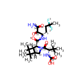 CC(F)(F)CC[C@H](NC(=O)[C@@H]1[C@@H]2[C@H](CN1C(=O)[C@@H](NC(=O)O)C(C)(C)C)C(C)(C)C2(C)C)C(=O)C(N)=O